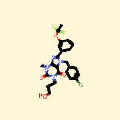 Cn1c(=O)n(CCCO)c(=O)c2c1nc(-c1cccc(OC(C)(F)F)c1)n2Cc1ccc(Cl)cc1